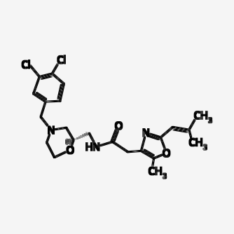 CC(C)=Cc1nc(CC(=O)NC[C@H]2CN(Cc3ccc(Cl)c(Cl)c3)CCO2)c(C)o1